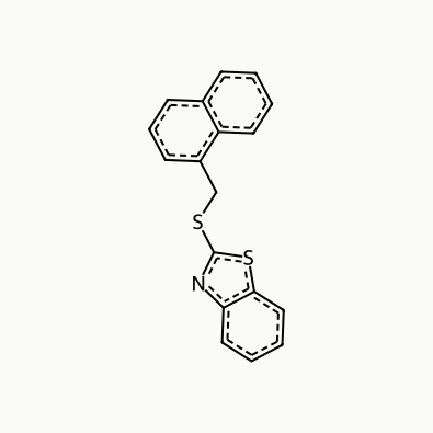 c1ccc2c(CSc3nc4ccccc4s3)cccc2c1